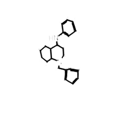 c1ccc(CN2CCC(Nc3ccccc3)C3CCCCC32)cc1